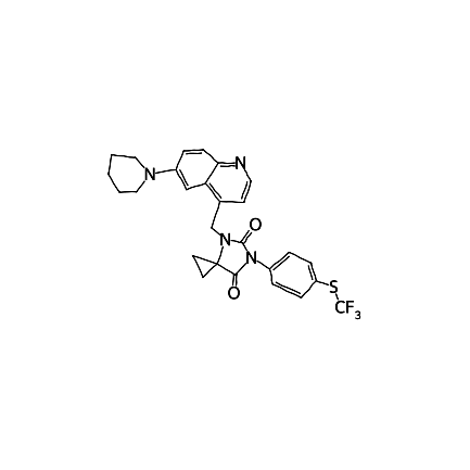 O=C1N(c2ccc(SC(F)(F)F)cc2)C(=O)C2(CC2)N1Cc1ccnc2ccc(N3CCCCC3)cc12